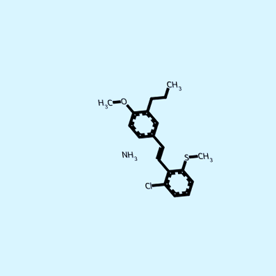 CCCc1cc(C=Cc2c(Cl)cccc2SC)ccc1OC.N